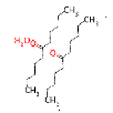 CCCCCC(=O)CCCCC.CCCCCC(=O)CCCCC.O